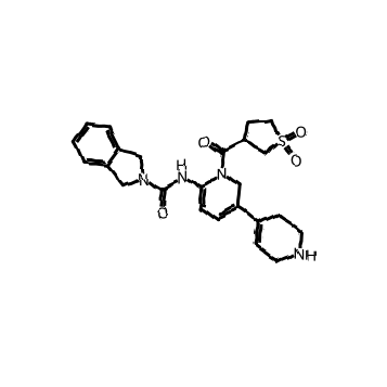 O=C(NC1=CC=C(C2=CCNCC2)CN1C(=O)C1CCS(=O)(=O)C1)N1Cc2ccccc2C1